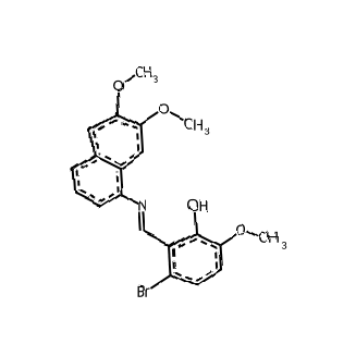 COc1cc2cccc(/N=C/c3c(Br)ccc(OC)c3O)c2cc1OC